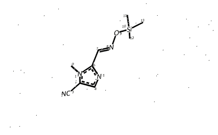 Cn1c(C#N)cnc1C=NO[Si](C)(C)C